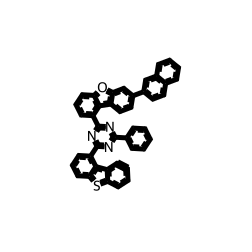 c1ccc2sc3cccc(-c4nc(-c5ccccc5)nc(-c5cccc6oc7cc(-c8ccc9ccccc9c8)ccc7c56)n4)c3c2c#1